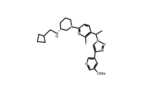 COc1cncc(-c2cn(C(C)c3ccc(N4CCC[C@@H](NCC5CCC5)C4)nc3F)nn2)c1